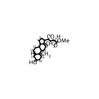 COC(=O)CC[C@@H](C(=O)O)C1CCC2C3CC[C@H]4C[C@@H](O)CC[C@]4(C)C3CC[C@@]21C